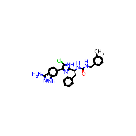 Cc1cccc(CNC(=O)N[C@@H](Cc2ccccc2)c2nc(-c3ccc4c(N)n[nH]c4c3)c(Cl)[nH]2)c1